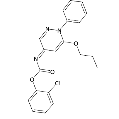 CCCOc1c/c(=N\C(=O)Oc2ccccc2Cl)cnn1-c1ccccc1